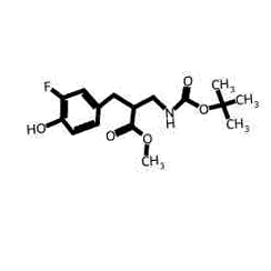 COC(=O)C(CNC(=O)OC(C)(C)C)Cc1ccc(O)c(F)c1